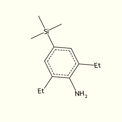 CCc1cc([Si](C)(C)C)cc(CC)c1N